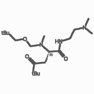 CN(C)CCNC(=O)[C@H](CC(=O)C(C)(C)C)N(C)COCC(C)(C)C